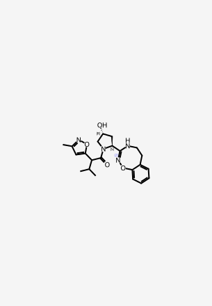 Cc1cc(C(C(=O)N2C[C@H](O)C[C@H]2/C2=N/Oc3ccccc3CCN2)C(C)C)on1